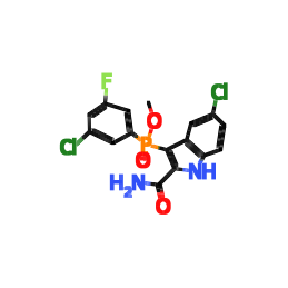 COP(=O)(c1cc(F)cc(Cl)c1)c1c(C(N)=O)[nH]c2ccc(Cl)cc12